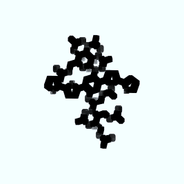 CC(=O)OCC1O[C@@H](Oc2cc(-c3ccc(-c4cccs4)s3)c(O[C@@H](COC(C)=O)OC(COC(C)=O)[C@H](COC(C)=O)OC(C)=O)cc2-c2ccc(-c3cccs3)s2)[C@@H](OC(C)=O)C(OC(C)=O)[C@@H]1OC(C)=O